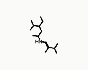 CCC(CC(C)N/C=C(\C)C(C)C)C(C)C